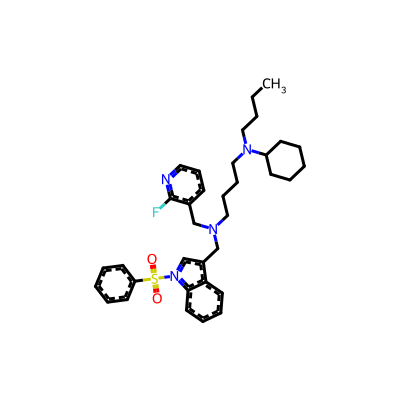 CCCCN(CCCCN(Cc1cccnc1F)Cc1cn(S(=O)(=O)c2ccccc2)c2ccccc12)C1CCCCC1